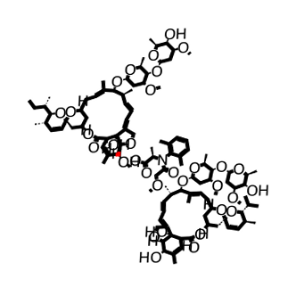 CC[C@H](C)[C@H]1O[C@]2(C=C[C@@H]1C)C[C@@H]1C[C@@H](C/C=C(\C)[C@@H](O[C@H]3C[C@H](OC)[C@@H](O[C@H]4C[C@H](OC)[C@@H](O)[C@H](C)O4)[C@H](C)O3)[C@@H](C)/C=C/C=C3\CO[C@@H]4[C@H](O)C(C)=C[C@@H](C(=O)O1)[C@]34O)O2.COCC(=O)N(c1c(C)cccc1C)[C@H](C)C(=O)OC.CO[C@H]1C[C@H](O[C@H]2[C@H](C)O[C@@H](O[C@@H]3/C(C)=C/C[C@@H]4C[C@@H](C[C@]5(C=C[C@H](C)[C@@H](C(C)C)O5)O4)OC(=O)[C@@H]4C=C(C)[C@@H](O)[C@H]5OC/C(=C\C=C\[C@@H]3C)[C@]54O)C[C@@H]2OC)O[C@@H](C)[C@@H]1O